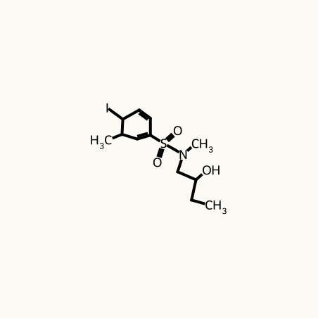 CCC(O)CN(C)S(=O)(=O)C1=CC(C)C(I)C=C1